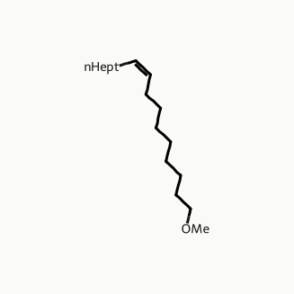 CCCCCCC/C=C\CCCCCCCCOC